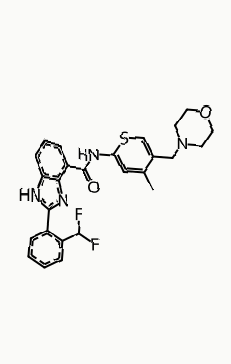 CC1=C=C(NC(=O)c2cccc3[nH]c(-c4ccccc4C(F)F)nc23)SC=C1CN1CCOCC1